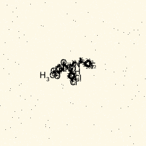 CS(=O)(=O)N1CCN(C(=O)[C@H](CCCN[C@H]2C[C@@H]2c2ccc(F)cc2)NC(=O)c2ccc(Cl)c(Cl)c2)CC1